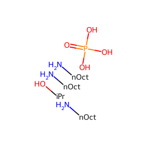 CC(C)O.CCCCCCCCN.CCCCCCCCN.CCCCCCCCN.O=P(O)(O)O